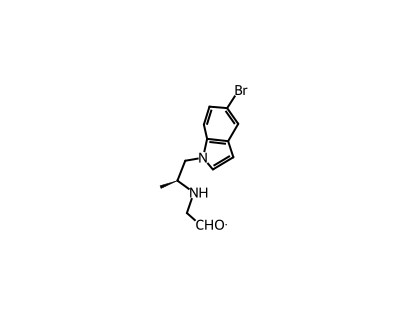 C[C@@H](Cn1ccc2cc(Br)ccc21)NC[C]=O